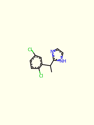 CC(c1ncc[nH]1)c1cc(Cl)ccc1Cl